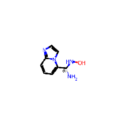 N[C@@H](NO)c1cccc2nccn12